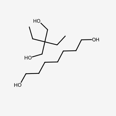 CCC(CC)(CO)CO.OCCCCCCCO